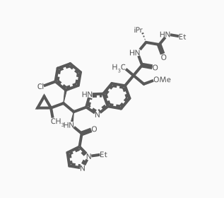 CCNC(=O)[C@H](NC(=O)C(C)(COC)c1ccc2nc([C@@H](NC(=O)c3ccnn3CC)[C@H](c3ccccc3Cl)C3(C)CC3)[nH]c2c1)C(C)C